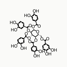 O=C(OC[C@H]1O[C@@H](OC(=O)c2ccc(O)c(O)c2)[C@H](OC(=O)c2ccc(O)c(O)c2)[C@@H](OC(=O)c2ccc(O)c(O)c2)[C@@H]1OC(=O)c1ccc(O)c(O)c1)c1ccc(O)c(O)c1